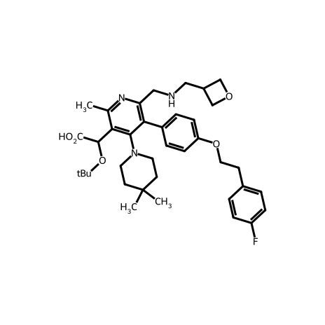 Cc1nc(CNCC2COC2)c(-c2ccc(OCCc3ccc(F)cc3)cc2)c(N2CCC(C)(C)CC2)c1C(OC(C)(C)C)C(=O)O